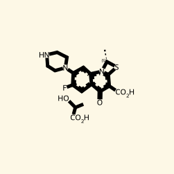 CC(O)C(=O)O.C[C@@H]1Sc2c(C(=O)O)c(=O)c3cc(F)c(N4CCNCC4)cc3n21